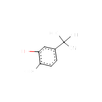 CC(C)(C#N)c1ccc(C=O)c(O)c1